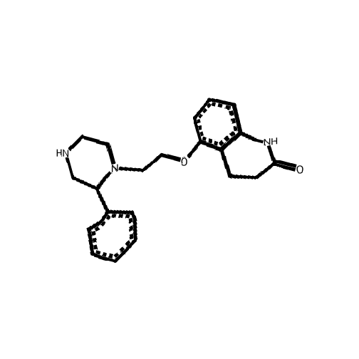 O=C1CCc2c(cccc2OCCN2CCNCC2c2ccccc2)N1